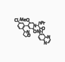 CCCC(C(=O)Nc1ccc2nccnc2c1)n1cc(OC)c(-c2cc(Cl)ccc2C2=NOCC2)cc1=O